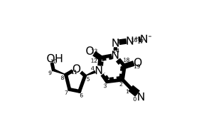 N#Cc1cn([C@H]2CC[C@@H](CO)O2)c(=O)n(N=[N+]=[N-])c1=O